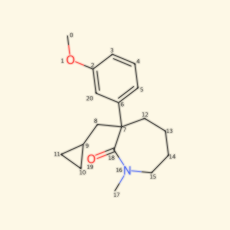 COc1cccc(C2(CC3CC3)CCCCN(C)C2=O)c1